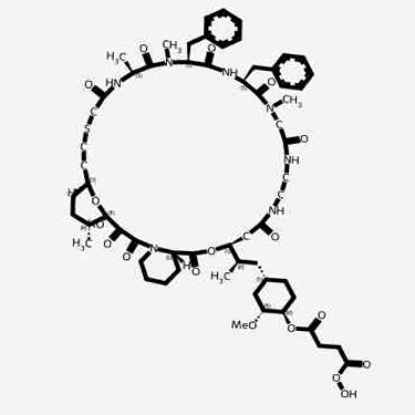 CO[C@@H]1C[C@H](C[C@@H](C)[C@@H]2CC(=O)NCCNC(=O)CN(C)C(=O)[C@H](Cc3ccccc3)NC(=O)[C@H](Cc3ccccc3)N(C)C(=O)[C@H](C)NC(=O)CSCC[C@@H]3CC[C@@H](C)[C@@](O)(O3)C(=O)C(=O)N3CCCC[C@H]3C(=O)O2)CC[C@H]1OC(=O)CCC(=O)OO